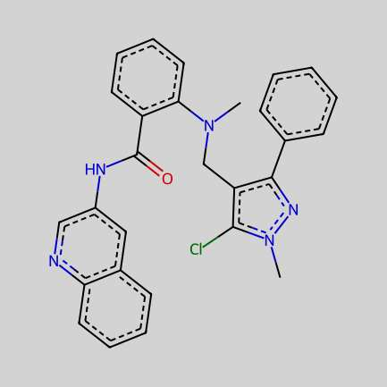 CN(Cc1c(-c2ccccc2)nn(C)c1Cl)c1ccccc1C(=O)Nc1cnc2ccccc2c1